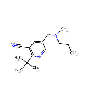 CCCN(C)Cc1cnc(C(C)(C)C)c(C#N)c1